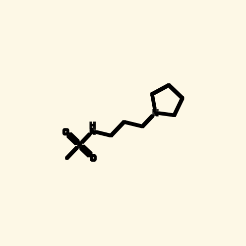 CS(=O)(=O)NCCCN1CCCC1